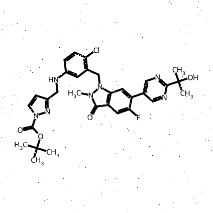 Cn1c(=O)c2cc(F)c(-c3cnc(C(C)(C)O)nc3)cc2n1Cc1cc(NCc2ccn(C(=O)OC(C)(C)C)n2)ccc1Cl